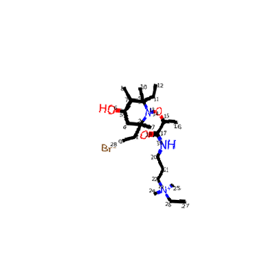 CCC1(C)CC(O)C(C)C(C)(CC)N1OC(C)C(=O)NCCC[N+](C)(C)CC.[Br-]